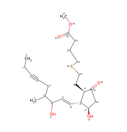 CCC#CCC(C)C(O)/C=C/[C@H]1[C@H](O)CC(=O)[C@@H]1CCSCCCC(=O)OC